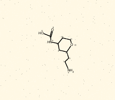 NCCC1CC(NC(=O)O)CCO1